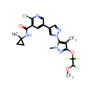 Cn1nc(OC(F)(F)C(F)OC(F)(F)F)c(C(F)(F)F)c1-n1cc(-c2cnc(Cl)c(C(=O)NC3(C#N)CC3)c2)cn1